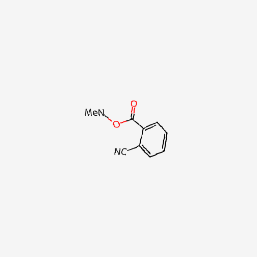 CNOC(=O)c1ccccc1C#N